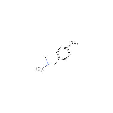 CN(Cc1ccc([N+](=O)[O-])cc1)C(=O)O